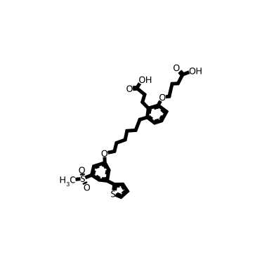 CS(=O)(=O)c1cc(OCCCCCCc2cccc(OCCCC(=O)O)c2CCC(=O)O)cc(-c2cccs2)c1